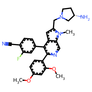 COc1ccc(-c2ncc3c(cc(CN4CC[C@H](N)C4)n3C)c2-c2ccc(C#N)c(F)c2)c(OC)c1